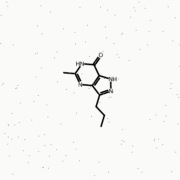 CCCc1n[nH]c2c(=O)[nH]c(C)nc12